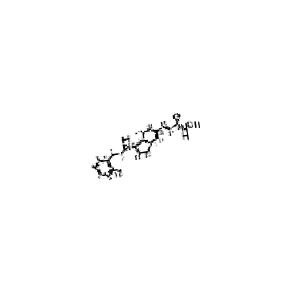 Cc1ccccc1CCNC1CCc2cc(C=CC(=O)NO)ccc21